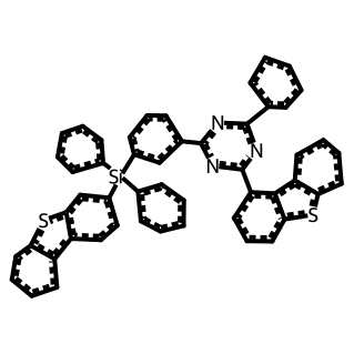 c1ccc(-c2nc(-c3cccc([Si](c4ccccc4)(c4ccccc4)c4ccc5c(c4)sc4ccccc45)c3)nc(-c3cccc4sc5ccccc5c34)n2)cc1